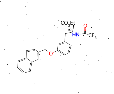 CCOC(=O)[C@H](Cc1cccc(OCc2ccc3ccccc3c2)c1)NC(=O)C(F)(F)F